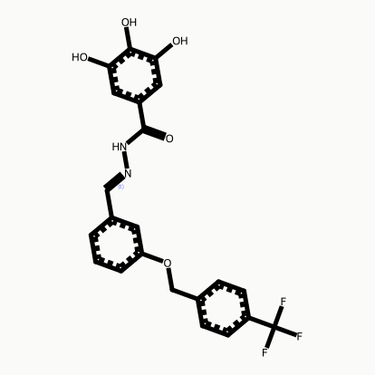 O=C(N/N=C/c1cccc(OCc2ccc(C(F)(F)F)cc2)c1)c1cc(O)c(O)c(O)c1